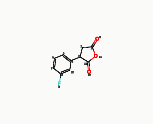 O=C1CC(c2cccc(F)c2)C(=O)O1